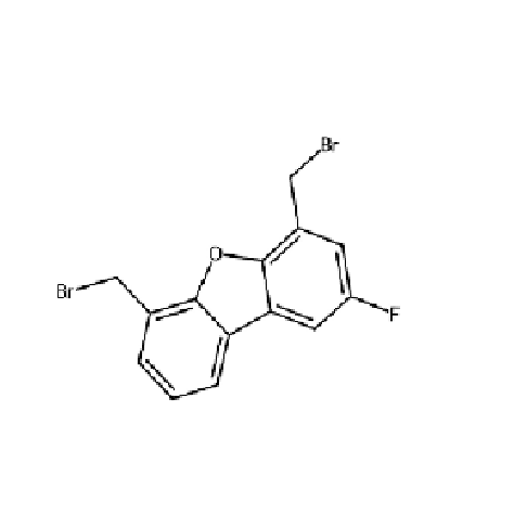 Fc1cc(CBr)c2oc3c(CBr)cccc3c2c1